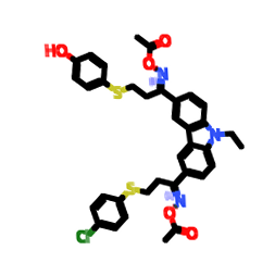 CCn1c2ccc(/C(CCSc3ccc(O)cc3)=N/OC(C)=O)cc2c2cc(/C(CCSc3ccc(Cl)cc3)=N/OC(C)=O)ccc21